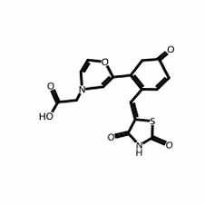 O=C(O)CN1C=COC(C2=C(C=C3SC(=O)NC3=O)C=CC(=O)C2)=C1